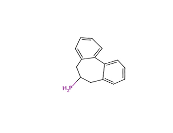 PC1Cc2ccccc2-c2ccccc2C1